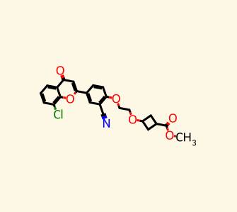 COC(=O)C1CC(OCCOc2ccc(-c3cc(=O)c4cccc(Cl)c4o3)cc2C#N)C1